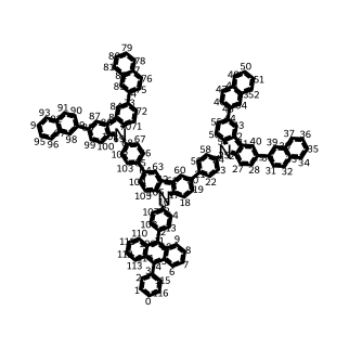 c1ccc(-c2c3ccccc3c(-c3ccc(-n4c5ccc(-c6ccc(-n7c8ccc(-c9ccc%10ccccc%10c9)cc8c8cc(-c9ccc%10ccccc%10c9)ccc87)cc6)cc5c5cc(-c6ccc(-n7c8ccc(-c9ccc%10ccccc%10c9)cc8c8cc(-c9ccc%10ccccc%10c9)ccc87)cc6)ccc54)cc3)c3ccccc23)cc1